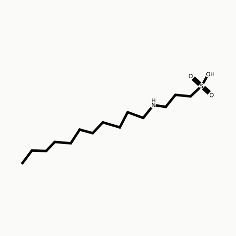 CCCCCCCCCCCNCCCS(=O)(=O)O